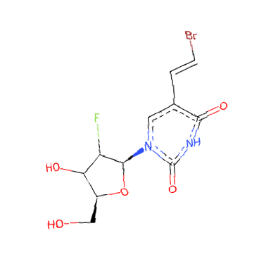 O=c1[nH]c(=O)n([C@H]2O[C@@H](CO)C(O)C2F)cc1/C=C/Br